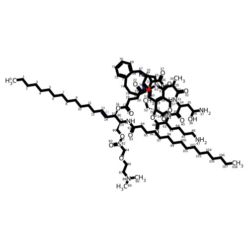 CCCCCCCCCCCCC/C=C/[C@@H](OC(=O)CCC(=O)OC(C)C(=O)NC(C)C(=O)NC(CC(N)O)C(=O)NC(CCCCN)C(=O)O[C@]1(CC)C(=O)OCc2c1cc1n(c2=O)CC2=C/c3ccccc3CCC\C=C\21)[C@H](COS(=O)COCCN(C)C)NC(=O)CCCCCCCCCCCCCCC